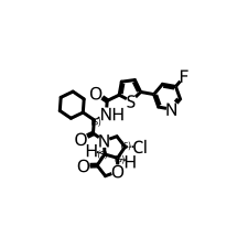 O=C(N[C@H](C(=O)N1C[C@H](Cl)[C@H]2OCC(=O)[C@H]21)C1CCCCC1)c1ccc(-c2cncc(F)c2)s1